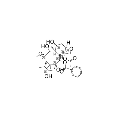 CO[C@@H]1C2=C(C)[C@@H](O)C[C@@](O)([C@@H](OC(=O)c3ccccc3)[C@@H]3[C@]4(OC(C)=O)CO[C@@H]4C[C@H](O)[C@@]3(C)C1O)C2(C)C